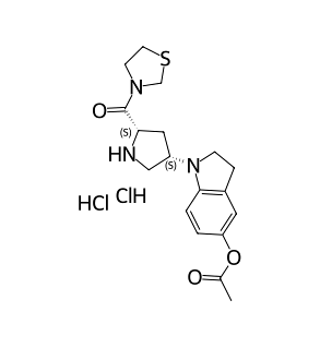 CC(=O)Oc1ccc2c(c1)CCN2[C@@H]1CN[C@H](C(=O)N2CCSC2)C1.Cl.Cl